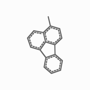 Cc1ccc2c3c(cccc13)-c1ccccc1-2